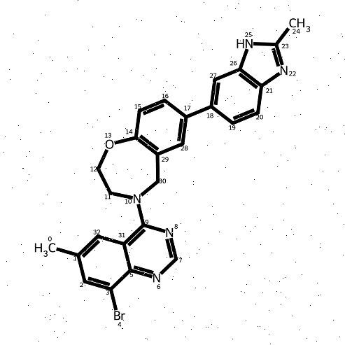 Cc1cc(Br)c2ncnc(N3CCOc4ccc(-c5ccc6nc(C)[nH]c6c5)cc4C3)c2c1